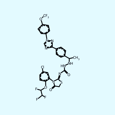 CC(NNC(=O)N=C1SCC(=O)N1c1cc(Cl)ccc1OC(F)C(F)F)c1ccc(-c2ncn(-c3ccc(OC(F)(F)F)cc3)n2)cc1